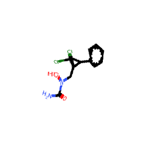 NC(=O)N(O)CC1C(c2ccccc2)C1(Cl)Cl